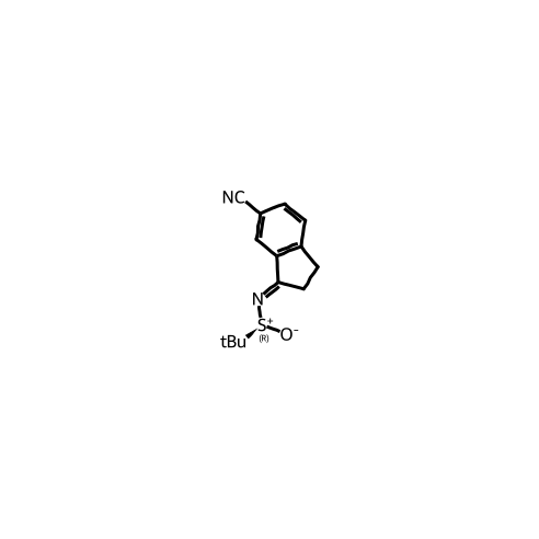 CC(C)(C)[S@+]([O-])N=C1CCc2ccc(C#N)cc21